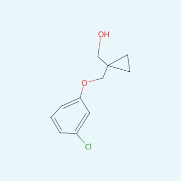 OCC1(COc2cccc(Cl)c2)CC1